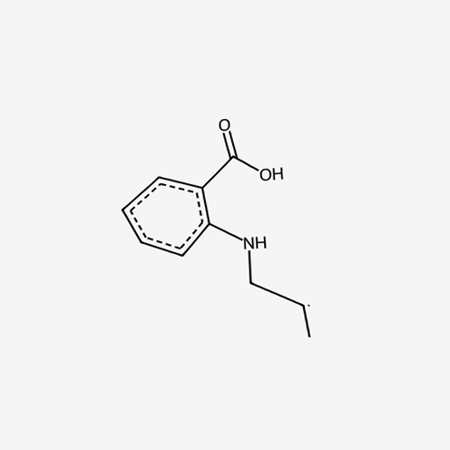 C[CH]CNc1ccccc1C(=O)O